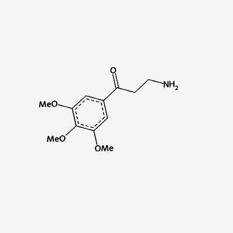 COc1cc(C(=O)CCN)cc(OC)c1OC